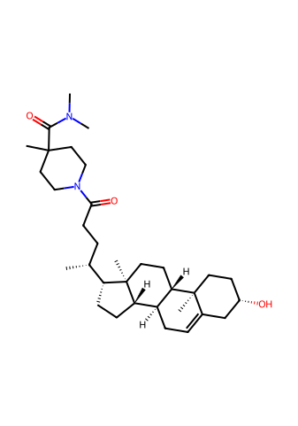 C[C@H](CCC(=O)N1CCC(C)(C(=O)N(C)C)CC1)[C@H]1CC[C@H]2[C@@H]3CC=C4C[C@@H](O)CC[C@]4(C)[C@H]3CC[C@]12C